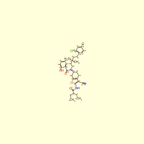 CCC(CC)C(=O)Nc1sc2c(c1C#N)CCC(N(CCC(C)(C)CCc1ccc(Cl)cc1Cl)C(=O)c1ccccc1O)C2